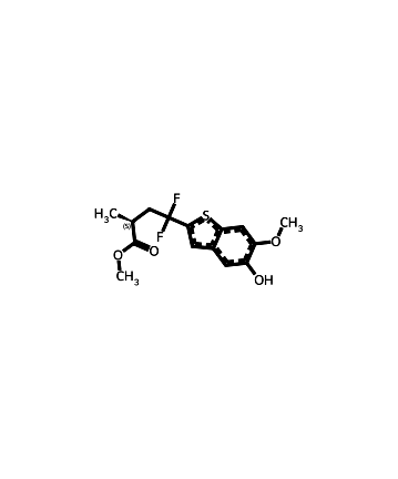 COC(=O)[C@@H](C)CC(F)(F)c1cc2cc(O)c(OC)cc2s1